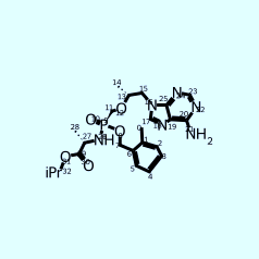 Cc1ccccc1CO[P@](=O)(CO[C@H](C)Cn1cnc2c(N)ncnc21)N[C@@H](C)C(=O)OC(C)C